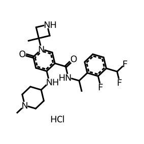 CC(NC(=O)c1cn(C2(C)CNC2)c(=O)cc1NC1CCN(C)CC1)c1cccc(C(F)F)c1F.Cl